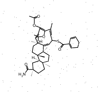 CC(=O)OC1=C(OC(C)O)\C(C)=C\C(SC(=O)C2=CCCC=C2)/C=C2\[C@](C)(\C=C\1)CC[C@@]1(C)[C@@H]3C[C@](C)(C(N)=O)CC[C@]3(C)CC[C@]21C